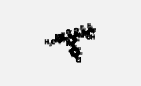 Cn1cc(-n2nc(-c3ccc(Cl)cc3)cc(C(=O)NC(F)C(O)C(F)F)c2=O)cn1